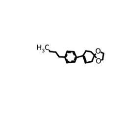 CCCCc1ccc(C2=CCC3(CC2)OCCO3)cc1